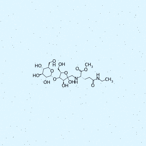 CCNC(=O)CC[C@H](NCC1(O)O[C@H](CO)C(O[C@H]2O[C@H](CO)[C@@H](O)[C@H](O)[C@H]2O)[C@@H]1O)C(=O)OC